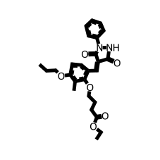 CCCOc1ccc(C=C2C(=O)NN(c3ccccc3)C2=O)c(OCCCC(=O)OCC)c1C